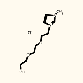 Cn1cc[n+](CCOCCOCCO)c1.[Cl-]